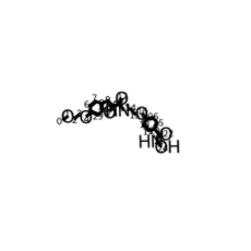 COCCOc1ccc2cc(C(=O)NCCOc3ccc(C(=O)NO)cc3)oc2c1